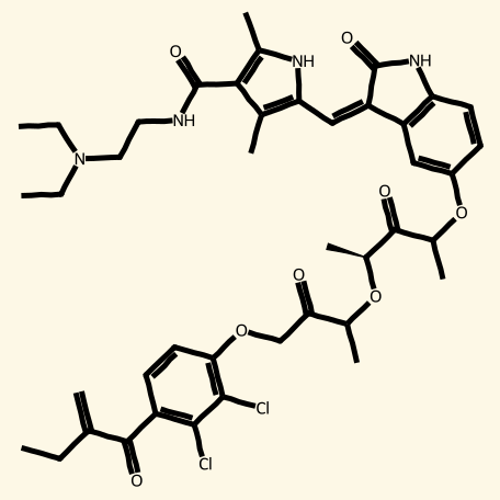 C=C(CC)C(=O)c1ccc(OCC(=O)C(C)O[C@@H](C)C(=O)C(C)Oc2ccc3c(c2)/C(=C/c2[nH]c(C)c(C(=O)NCCN(CC)CC)c2C)C(=O)N3)c(Cl)c1Cl